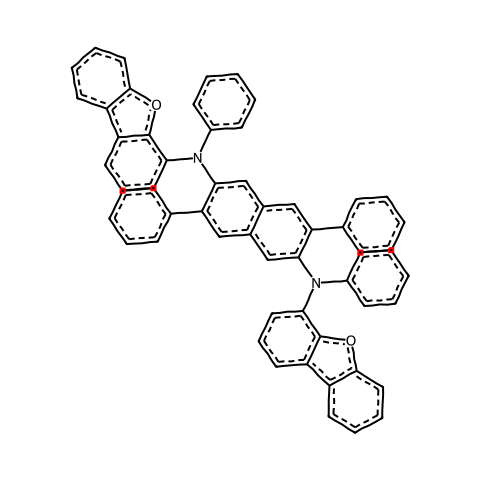 c1ccc(-c2cc3cc(N(c4ccccc4)c4cccc5c4oc4ccccc45)c(-c4ccccc4)cc3cc2N(c2ccccc2)c2cccc3c2oc2ccccc23)cc1